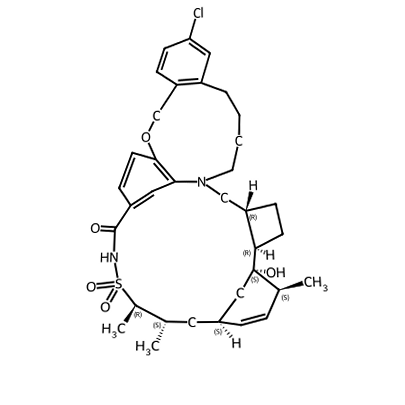 C[C@@H]1[C@@H](C)C[C@@H]2C=C[C@H](C)[C@@](O)(C2)[C@@H]2CC[C@H]2CN2CCCCc3cc(Cl)ccc3COc3ccc(cc32)C(=O)NS1(=O)=O